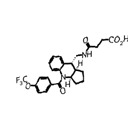 O=C(O)CCC(=O)NC[C@H]1c2ccccc2N(C(=O)c2ccc(OC(F)(F)F)cc2)[C@@H]2CCC[C@@H]21